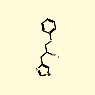 NC(COc1ccccc1)Cc1c[nH]cn1